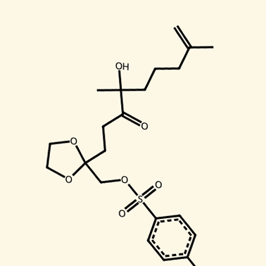 C=C(C)CCCC(C)(O)C(=O)CCC1(COS(=O)(=O)c2ccc(C)cc2)OCCO1